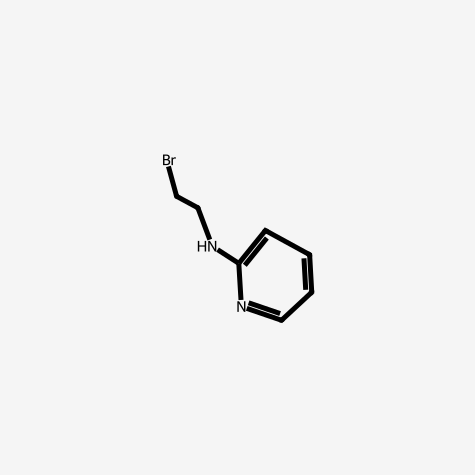 BrCCNc1ccccn1